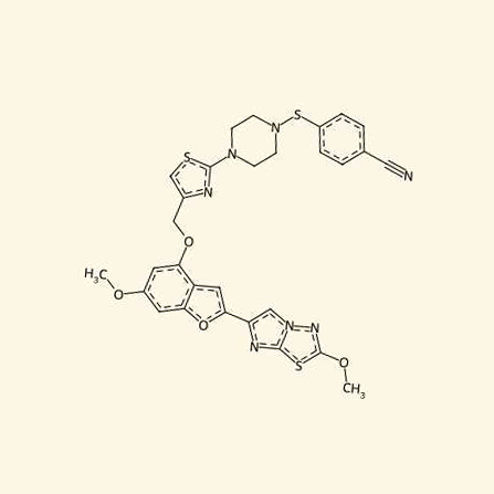 COc1cc(OCc2csc(N3CCN(Sc4ccc(C#N)cc4)CC3)n2)c2cc(-c3cn4nc(OC)sc4n3)oc2c1